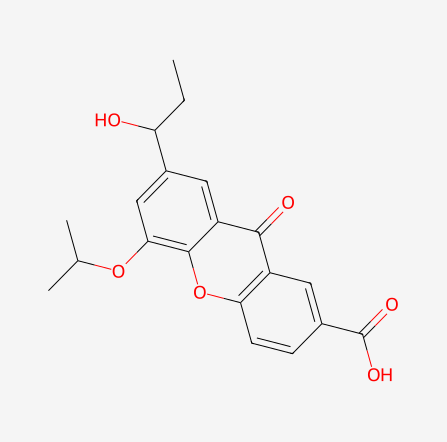 CCC(O)c1cc(OC(C)C)c2oc3ccc(C(=O)O)cc3c(=O)c2c1